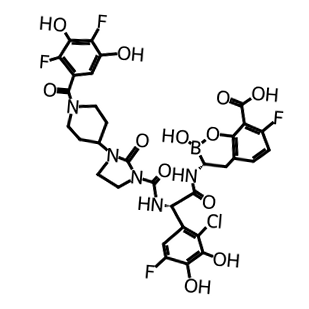 O=C(O)c1c(F)ccc2c1OB(O)[C@@H](NC(=O)[C@@H](NC(=O)N1CCN(C3CCN(C(=O)c4cc(O)c(F)c(O)c4F)CC3)C1=O)c1cc(F)c(O)c(O)c1Cl)C2